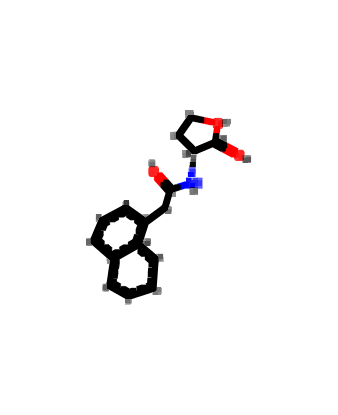 O=C(Cc1cccc2ccccc12)N[C@@H]1CCOC1=O